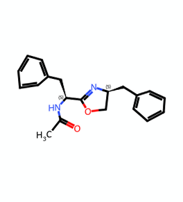 CC(=O)N[C@@H](Cc1ccccc1)C1=N[C@@H](Cc2ccccc2)CO1